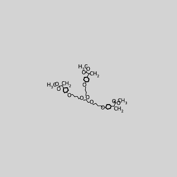 C=C(C(=O)OC)c1ccc(OCCCCOCC(COCCCCOc2ccc(C(=C)C(=O)OC)cc2)OCCCCOc2ccc(C(=C)C(=O)OC)cc2)cc1